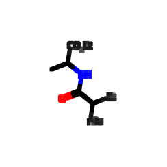 CCCCC(CC)C(=O)NC(C)C(=O)OCC